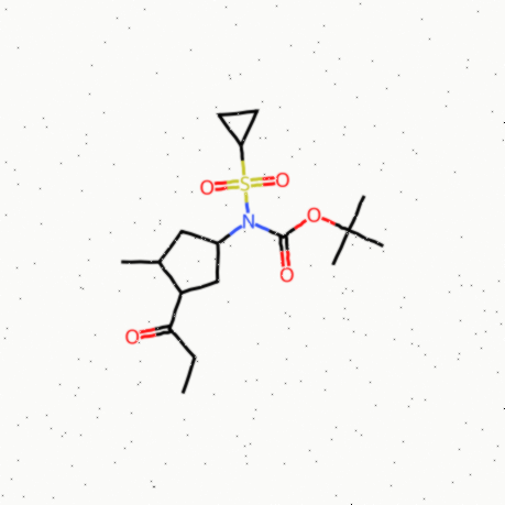 CCC(=O)C1CC(N(C(=O)OC(C)(C)C)S(=O)(=O)C2CC2)CC1C